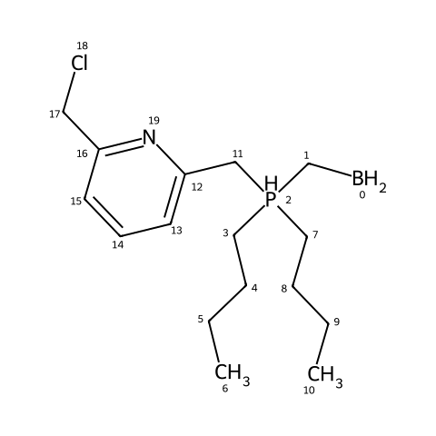 BC[PH](CCCC)(CCCC)Cc1cccc(CCl)n1